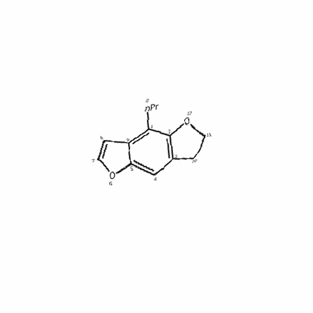 CCCc1c2c(cc3occc13)CCO2